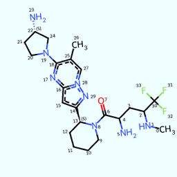 CNC(CC(N)C(=O)N1CCCC[C@H]1c1cc2nc(N3CC[C@H](N)C3)c(C)cn2n1)C(F)(F)F